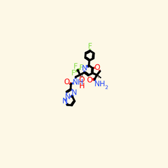 C[C@]1(C(N)=O)COc2c1cc([C@@](O)(CNC(=O)c1cn3ncccc3n1)C(F)(F)F)nc2-c1ccc(F)cc1